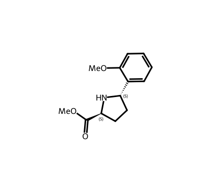 COC(=O)[C@@H]1CC[C@@H](c2ccccc2OC)N1